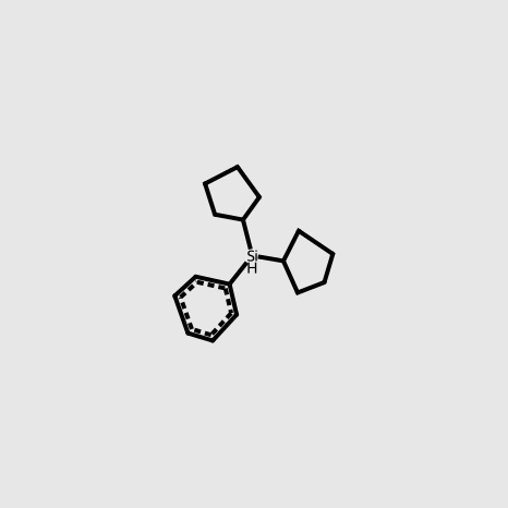 c1ccc([SiH](C2CCCC2)C2CCCC2)cc1